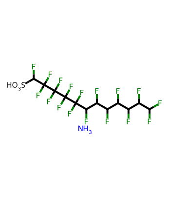 N.O=S(=O)(O)C(F)C(F)(F)C(F)(F)C(F)(F)C(F)(F)C(F)C(F)C(F)C(F)C(F)C(F)C(F)F